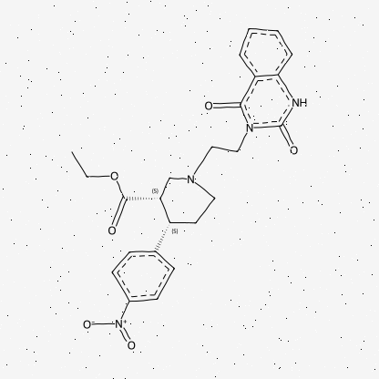 CCOC(=O)[C@@H]1CN(CCn2c(=O)[nH]c3ccccc3c2=O)CC[C@@H]1c1ccc([N+](=O)[O-])cc1